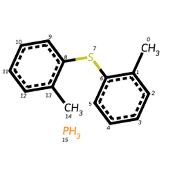 Cc1ccccc1Sc1ccccc1C.P